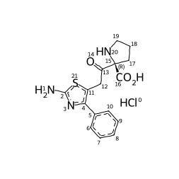 Cl.Nc1nc(-c2ccccc2)c(CC(=O)[C@@]2(C(=O)O)CCCN2)s1